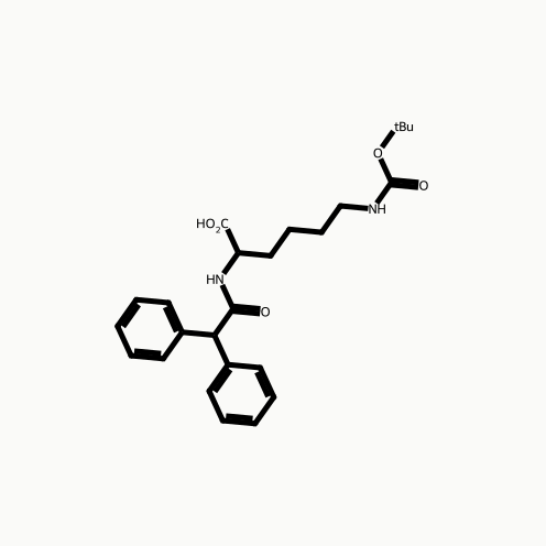 CC(C)(C)OC(=O)NCCCCC(NC(=O)C(c1ccccc1)c1ccccc1)C(=O)O